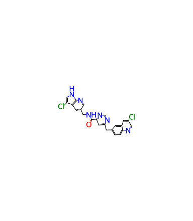 O=C(NCc1cnc2[nH]cc(Cl)c2c1)c1cc(Cc2ccc3ncc(Cl)cc3c2)ncn1